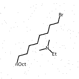 CCCCCCCCCCCCCCCCBr.CCN(C)C